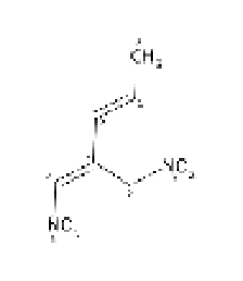 CC=CC(=C[N+](=O)[O-])C[N+](=O)[O-]